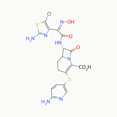 Nc1ccc(SC2=C(C(=O)O)N3C(=O)[C@@H](NC(=O)/C(=N\O)c4nc(N)sc4Cl)C3CC2)cn1